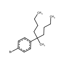 CCCCC(C)(CCCC)c1ccc(Br)cc1